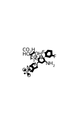 CS(=O)(=O)n1cc2c(n1)CN([C@@H]1C[C@H](N)[C@@H](c3cc(F)ccc3F)O[C@@H]1C(F)(F)F)C2.O=C(O)C(O)C(O)C(=O)O